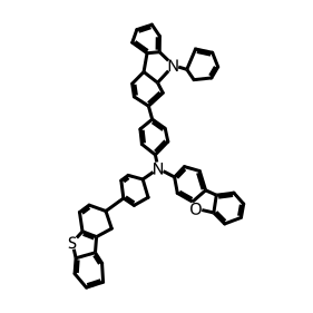 C1=CCC(N2c3ccccc3C3C=CC(c4ccc(N(c5ccc6c(c5)oc5ccccc56)C5C=CC(C6C=Cc7sc8ccccc8c7C6)=CC5)cc4)=CC32)C=C1